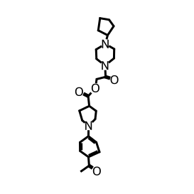 CC(=O)c1ccc(N2CCC(C(=O)OCC(=O)N3CCN(C4CCCC4)CC3)CC2)cc1